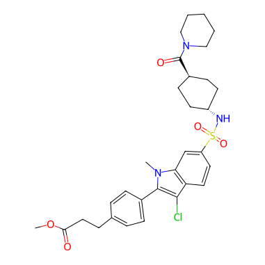 COC(=O)CCc1ccc(-c2c(Cl)c3ccc(S(=O)(=O)N[C@H]4CC[C@H](C(=O)N5CCCCC5)CC4)cc3n2C)cc1